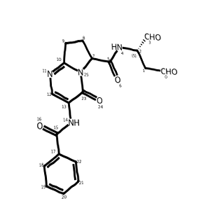 O=CC[C@@H](C=O)NC(=O)C1CCc2ncc(NC(=O)c3ccccc3)c(=O)n21